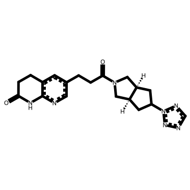 O=C1CCc2cc(CCC(=O)N3C[C@H]4CC(n5ncnn5)C[C@H]4C3)cnc2N1